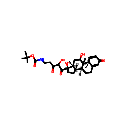 CC(C)(C)OC(=O)NCCC(=O)C(O)C(=O)[C@@]1(O)CC[C@H]2[C@@H]3CCC4=CC(=O)C=C[C@]4(C)[C@H]3C(O)C[C@@]21C